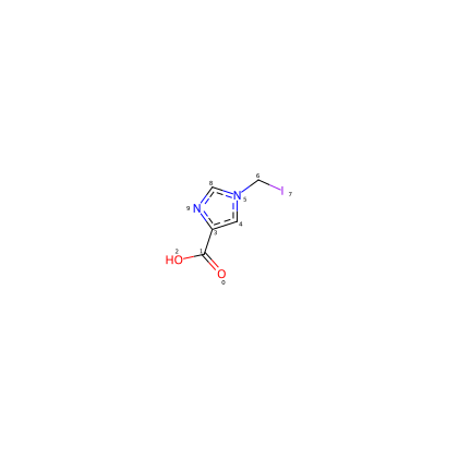 O=C(O)c1cn(CI)cn1